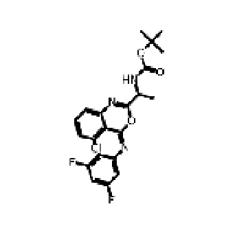 CC(NC(=O)OC(C)(C)C)c1nc2cccc(Cl)c2/c(=N\c2cc(F)cc(F)c2)o1